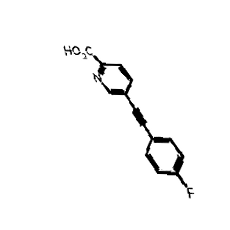 O=C(O)c1ccc(C#Cc2ccc(F)cc2)cn1